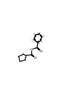 O=C(OC(=O)C1CCCC1)c1ccccc1